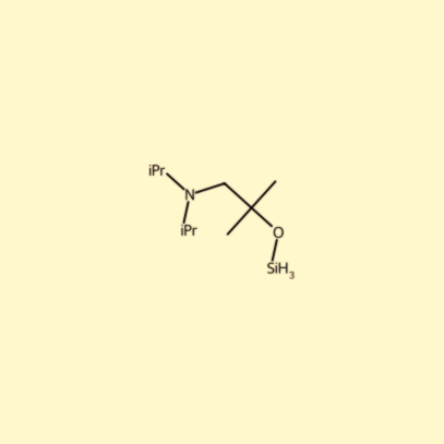 CC(C)N(CC(C)(C)O[SiH3])C(C)C